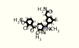 CN/C(=C1/CCN(C(=O)c2cccc(OC)c2Cl)C(C)C1=N)c1cc(F)cc(CC(N)=O)c1